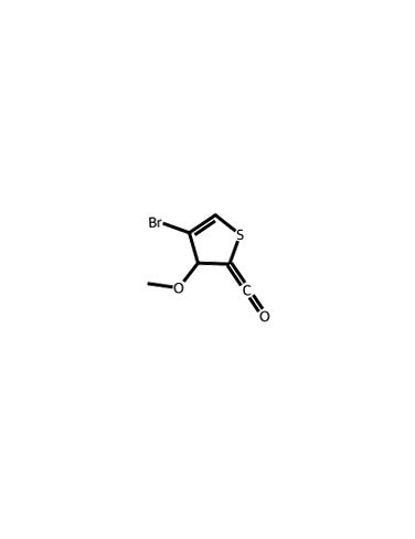 COC1C(=C=O)SC=C1Br